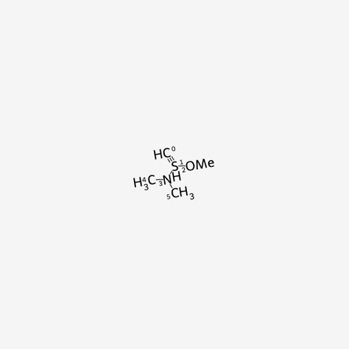 C#[SH](OC)N(C)C